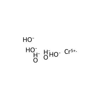 [Cr+5].[OH-].[OH-].[OH-].[OH-].[OH-]